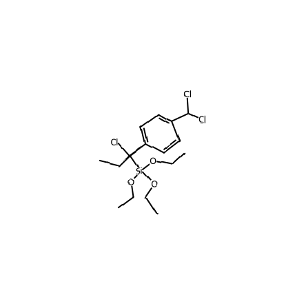 CCO[Si](OCC)(OCC)C(Cl)(CC)c1ccc(C(Cl)Cl)cc1